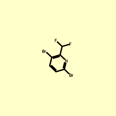 FC(F)c1nc(Br)ccc1Br